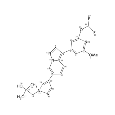 COc1cc(-c2cnn3cc(-c4cnn(CC(C)(C)O)c4)ccc23)cc(OC(F)F)n1